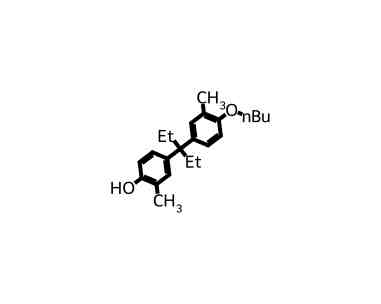 CCCCOc1ccc(C(CC)(CC)c2ccc(O)c(C)c2)cc1C